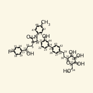 Cc1ccc(N2C(=O)[C@H](CC[C@H](O)c3ccc(F)cc3)[C@H]2c2ccc(-c3ccc(CC[C@@H]4O[C@H](CO)[C@@H](O)[C@H](O)[C@H]4O)cc3)cc2O)cc1